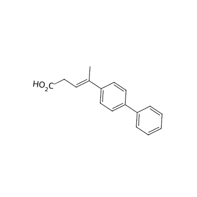 CC(=CCC(=O)O)c1ccc(-c2ccccc2)cc1